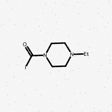 CCN1CCN(C(=O)I)CC1